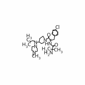 CC(C)CN(C1CCN(C(=O)[C@@H](Cc2ccc(Cl)cc2)NC(=O)C(C)(C)N)CC1)N1CCN(C)CC1